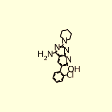 Nc1nc(N2CCCCC2)nc2nc(O)c(-c3ccccc3Cl)cc12